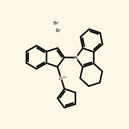 C1=CC[C]([Zr+2][CH]2C(n3c4c(c5ccccc53)CCCC4)=Cc3ccccc32)=C1.[Br-].[Br-]